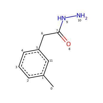 Cc1cccc(CC(=O)NN)c1